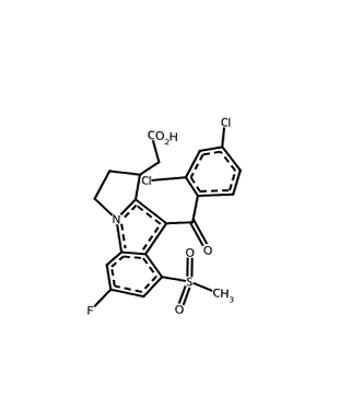 CS(=O)(=O)c1cc(F)cc2c1c(C(=O)c1ccc(Cl)cc1Cl)c1n2CCC1CC(=O)O